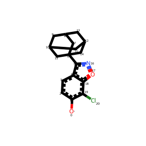 [O]c1ccc2c(C34CC5CC(CC(C5)C3)C4)noc2c1Cl